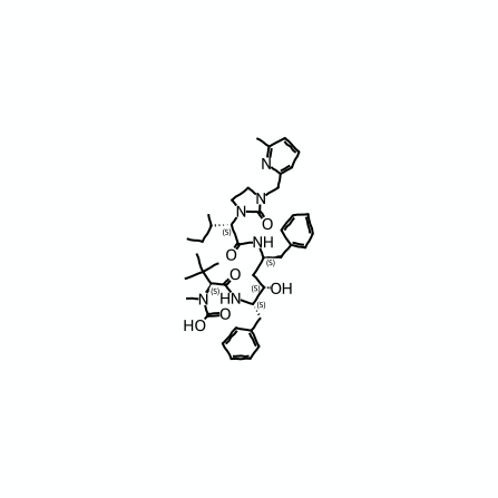 CCC(C)[C@@H](C(=O)N[C@@H](Cc1ccccc1)C[C@H](O)[C@H](Cc1ccccc1)NC(=O)[C@@H](N(C)C(=O)O)C(C)(C)C)N1CCN(Cc2cccc(C)n2)C1=O